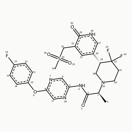 C[C@@H](C(=O)Nc1cnc(Oc2ccc(F)cc2)cn1)N1CCC(F)(F)[C@@H](c2c[nH]c(=O)c(CS(C)(=O)=O)c2)C1